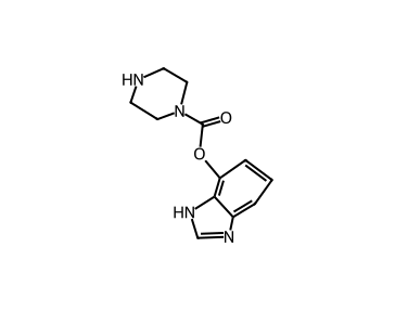 O=C(Oc1cccc2nc[nH]c12)N1CCNCC1